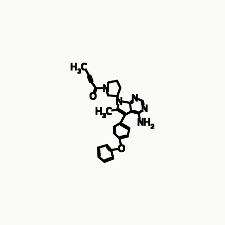 CC#CC(=O)N1CCC[C@@H](n2c(C)c(-c3ccc(Oc4ccccc4)cc3)c3c(N)ncnc32)C1